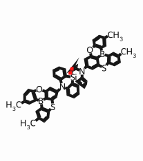 Cc1ccc2c(c1)B1c3cc(C)ccc3Sc3cc(N4c5ccccc5[Si]5(c6ccccc64)c4ccccc4N(c4cc6c7c(c4)Sc4ccc(C)cc4B7c4cc(C)ccc4O6)c4ccccc45)cc(c31)O2